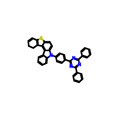 C1=Cc2sc3ccc4c(c5ccccc5n4-c4ccc(-c5nc(-c6ccccc6)nc(-c6ccccc6)n5)cc4)c3c2CC1